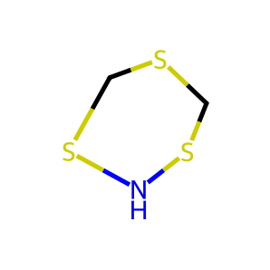 C1SCSNS1